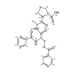 CC(NC(=O)C(CSC(=O)c1ccccc1)NC(=O)c1ccccc1)C(=O)N1CCCC1C(=O)O